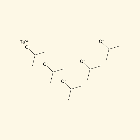 CC(C)[O-].CC(C)[O-].CC(C)[O-].CC(C)[O-].CC(C)[O-].[Ta+5]